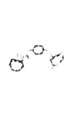 O=C(Nc1ccccc1)Nc1ccc(Oc2cc(Cl)ncn2)cc1